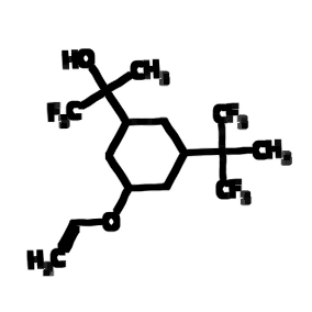 C=COC1CC(C(C)(O)C(F)(F)F)CC(C(C)(C(F)(F)F)C(F)(F)F)C1